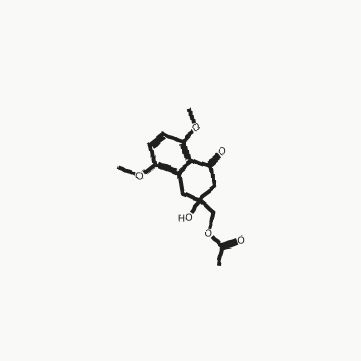 COc1ccc(OC)c2c1CC(O)(COC(C)=O)CC2=O